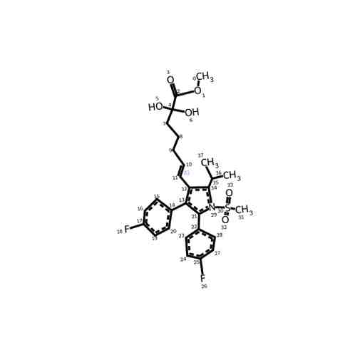 COC(=O)C(O)(O)CCC/C=C/c1c(-c2ccc(F)cc2)c(-c2ccc(F)cc2)n(S(C)(=O)=O)c1C(C)C